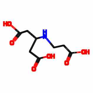 O=C(O)CCNC(CC(=O)O)CC(=O)O